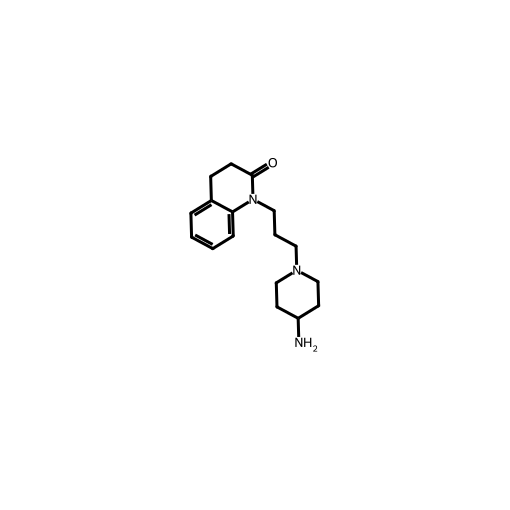 NC1CCN(CCCN2C(=O)CCc3ccccc32)CC1